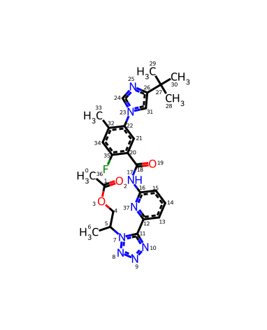 CC(=O)OCC(C)n1nnnc1-c1cccc(NC(=O)c2cc(-n3cnc(C(C)(C)C)c3)c(C)cc2F)n1